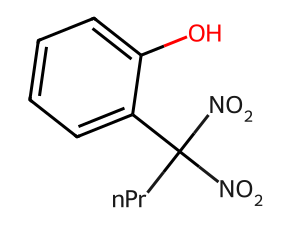 CCCC(c1ccccc1O)([N+](=O)[O-])[N+](=O)[O-]